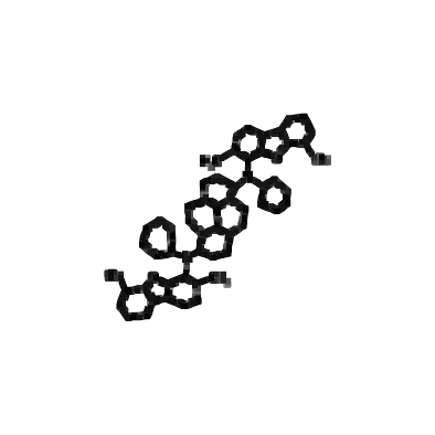 Cc1ccc2c(oc3c(C(C)(C)C)cccc32)c1N(c1ccccc1)c1ccc2ccc3c(N(c4ccccc4)c4c(C)ccc5c4oc4c(C(C)(C)C)cccc45)ccc4ccc1c2c43